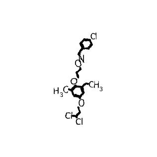 CCc1cc(OCC=C(Cl)Cl)cc(C)c1OCCCO/N=C/c1ccc(Cl)cc1